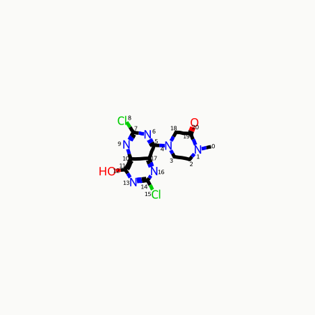 CN1CCN(c2nc(Cl)nc3c(O)nc(Cl)nc23)CC1=O